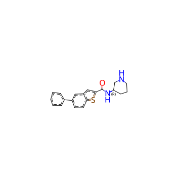 O=C(N[C@@H]1CCCNC1)c1cc2cc(-c3ccccc3)ccc2s1